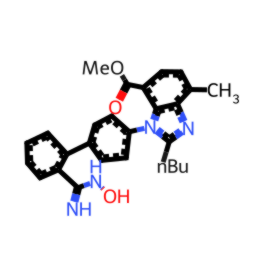 CCCCc1nc2c(C)ccc(C(=O)OC)c2n1-c1ccc(-c2ccccc2C(=N)NO)cc1